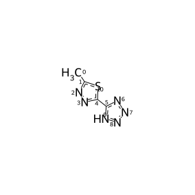 Cc1nnc(-c2nnn[nH]2)s1